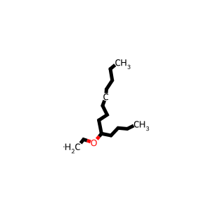 [CH2]COC(CCCC)CCCCCCCC